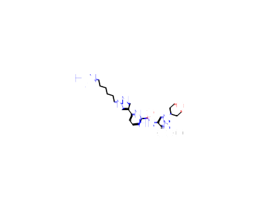 NCCCCCCn1cc(-c2cccc(C(=O)Nc3cn(C4CCOCC4)nc3C(=O)[O-])n2)cn1.[Li+]